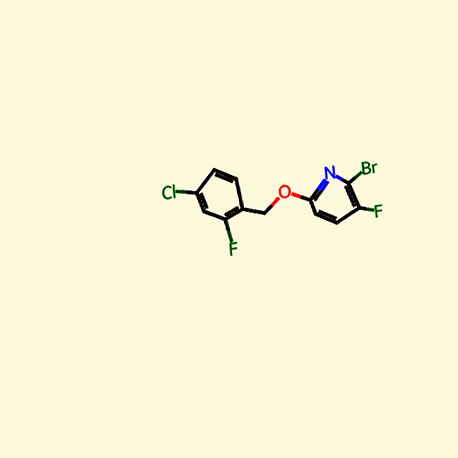 Fc1cc(Cl)ccc1COc1ccc(F)c(Br)n1